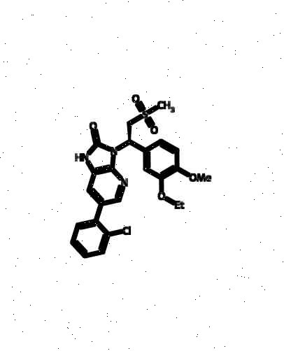 CCOc1cc([C@H](CS(C)(=O)=O)n2c(=O)[nH]c3cc(-c4ccccc4Cl)cnc32)ccc1OC